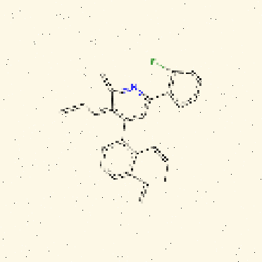 C=Cc1cccc(-c2cc(-c3ccccc3F)nc(=C)/c2=C\C=C/C)c1/C=C\C